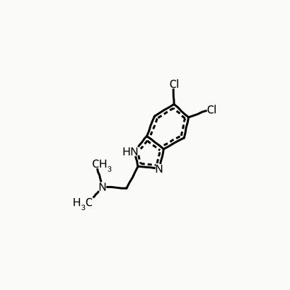 CN(C)Cc1nc2cc(Cl)c(Cl)cc2[nH]1